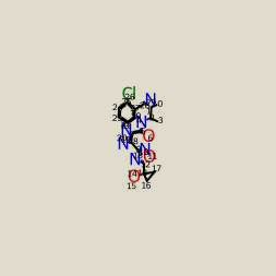 CCC(C)n1c(=O)c2c(-c3noc(C4(OC)CC4)n3)ncn2c2ccc(Cl)c(C#N)c21